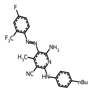 CCCCc1ccc(Nc2nc(N)c(/N=N/c3ccc(F)cc3C(F)(F)F)c(C)c2C#N)cc1